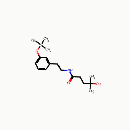 CC(C)(O)CCC(=O)NCCc1cccc(O[Si](C)(C)C(C)(C)C)c1